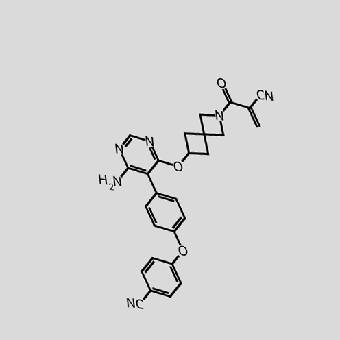 C=C(C#N)C(=O)N1CC2(CC(Oc3ncnc(N)c3-c3ccc(Oc4ccc(C#N)cc4)cc3)C2)C1